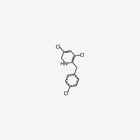 ClC1=CC(Cl)=C(Cc2ccc(Cl)cc2)NC1